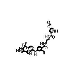 CCc1cc(Nc2nccn3c(-c4c[nH]nc4C(F)(F)F)cnc23)ccc1C(=O)NCCCNC(=O)[C@@H]1C[C@@H](OC=O)CN1